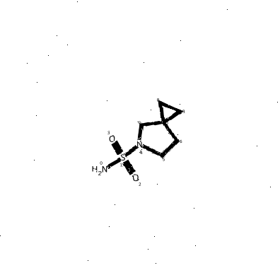 NS(=O)(=O)N1CCC2(CC2)C1